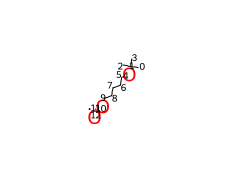 CC(C)(C)OCCCCCO[C]=O